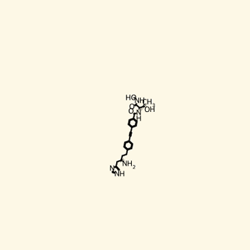 C[C@@H](O)[C@H](NC(=O)c1ccc(C#Cc2ccc(CC[C@@H](N)Cc3c[nH]cn3)cc2)cc1)C(=O)NO